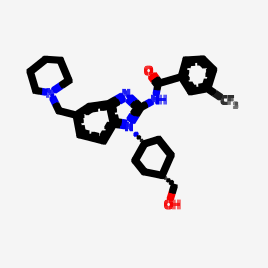 O=C(Nc1nc2cc(CN3CCCCC3)ccc2n1[C@H]1CC[C@@H](CO)CC1)c1cccc(C(F)(F)F)c1